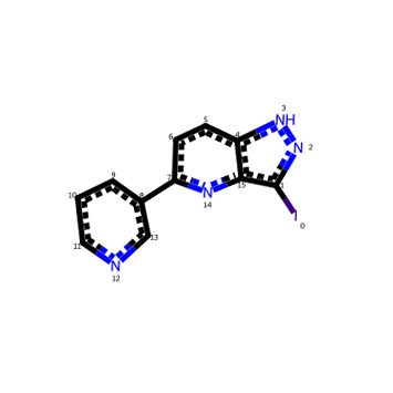 Ic1n[nH]c2ccc(-c3cccnc3)nc12